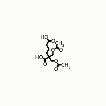 CC(=O)OCC(CCCC(=O)O)(COC(C)=O)C(=O)O